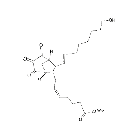 COC(=O)CCC/C=C\CC1C(C=CCCCCCCO)[C@H]2C[C@H]1C(=O)C(=O)C2=O